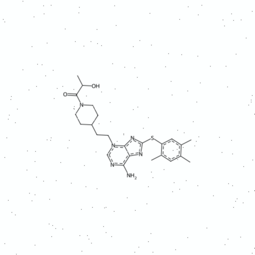 Cc1cc(C)c(Sc2nc3c(N)ncn(CCC4CCN(C(=O)C(C)O)CC4)c-3n2)cc1C